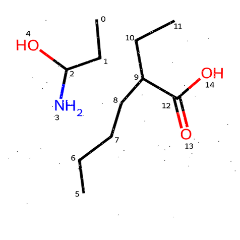 CCC(N)O.CCCCC(CC)C(=O)O